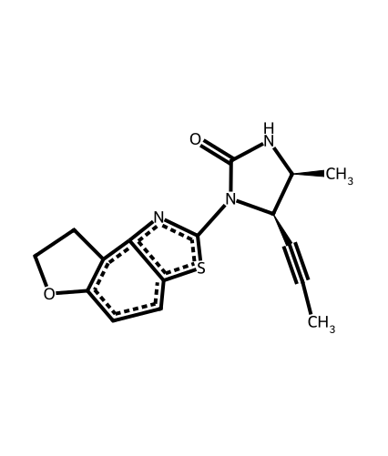 CC#C[C@@H]1[C@H](C)NC(=O)N1c1nc2c3c(ccc2s1)OCC3